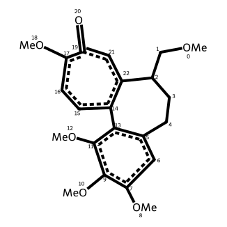 COCC1CCc2cc(OC)c(OC)c(OC)c2-c2ccc(OC)c(=O)cc21